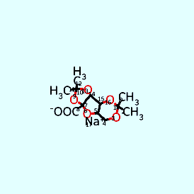 CC1(C)OCC2OC3(C(=O)[O-])OC(C)(C)OC3C2O1.[Na+]